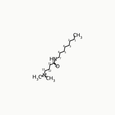 CCCCCCCCNC(=O)CCCN(C)C